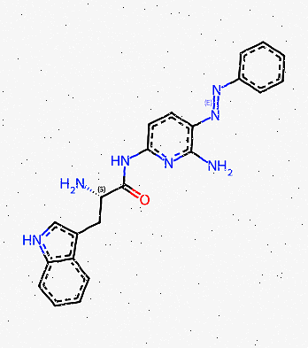 Nc1nc(NC(=O)[C@@H](N)Cc2c[nH]c3ccccc23)ccc1/N=N/c1ccccc1